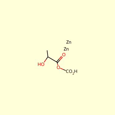 CC(O)C(=O)OC(=O)O.[Zn].[Zn]